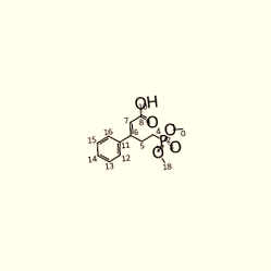 COP(=O)(CCC(=CC(=O)O)c1ccccc1)OC